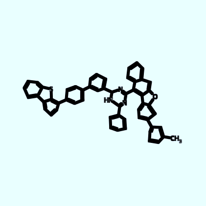 Cc1cccc(-c2ccc3c(c2)oc2cc4ccccc4c(C4=NC(c5cccc(-c6ccc(-c7cccc8c7sc7ccccc78)cc6)c5)NC(c5ccccc5)=N4)c23)c1